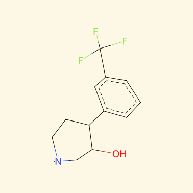 OC1C[N]CCC1c1cccc(C(F)(F)F)c1